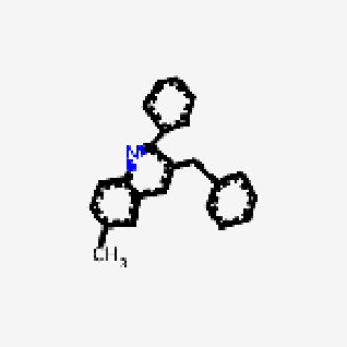 Cc1ccc2nc(-c3ccccc3)c(Cc3ccccc3)cc2c1